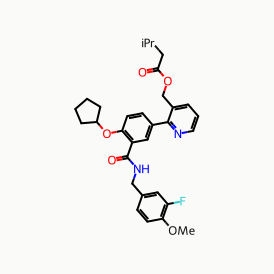 COc1ccc(CNC(=O)c2cc(-c3ncccc3COC(=O)CC(C)C)ccc2OC2CCCC2)cc1F